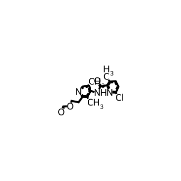 Cc1ccc(Cl)nc1C(=O)Nc1c(C)cnc(CCOC=O)c1C